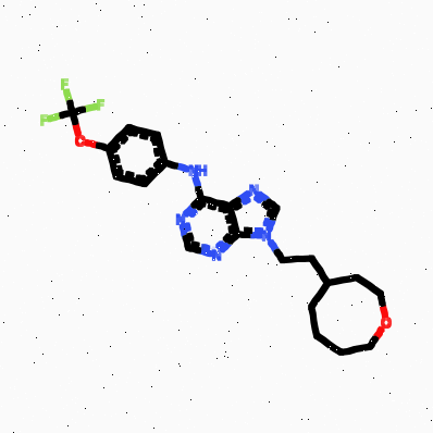 FC(F)(F)Oc1ccc(Nc2ncnc3c2ncn3CCC2CCCCOCC2)cc1